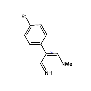 CCc1ccc(/C(C=N)=C/NC)cc1